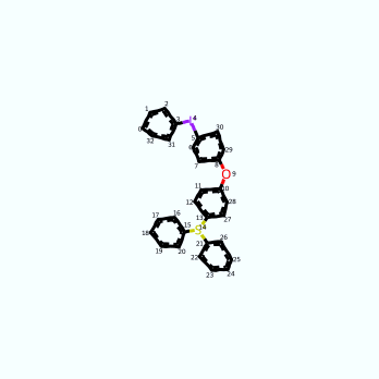 c1ccc([I+]c2ccc(Oc3ccc([S+](c4ccccc4)c4ccccc4)cc3)cc2)cc1